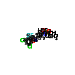 CC(C)(C)S(C)(=O)=NC(=O)c1ccc(C2=NOC(c3cc(Cl)cc(Cl)c3)(C(F)(F)F)C2)cc1